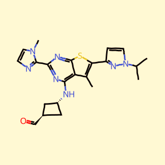 Cc1c(-c2ccn(C(C)C)n2)sc2nc(-c3nccn3C)nc(N[C@H]3C[C@H](C=O)C3)c12